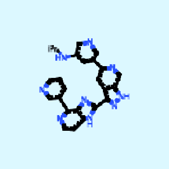 CC(C)Nc1cncc(-c2cc3c(-c4nc5c(-c6cccnc6)nccc5[nH]4)n[nH]c3cn2)c1